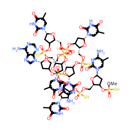 COP(=O)(S)OC1C[C@H](n2cc(C)c(N)nc2=O)O[C@@H]1COP(=O)(S)OC1C[C@H](n2cc(C)c(=O)[nH]c2=O)O[C@@H]1COP(=O)(S)OC1C[C@H](n2cnc3c(N)ncnc32)O[C@@H]1COP(=O)(S)OC1C[C@H](n2cc(C)c(=O)[nH]c2=O)O[C@@H]1COP(=O)(S)OC1C[C@H](n2cc(C)c(=O)[nH]c2=O)O[C@@H]1COP(=O)(S)OC1C[C@H](n2cc(C)c(=O)[nH]c2=O)O[C@@H]1COP(=O)(S)OC1C[C@H](n2cc(C)c(N)nc2=O)O[C@@H]1C